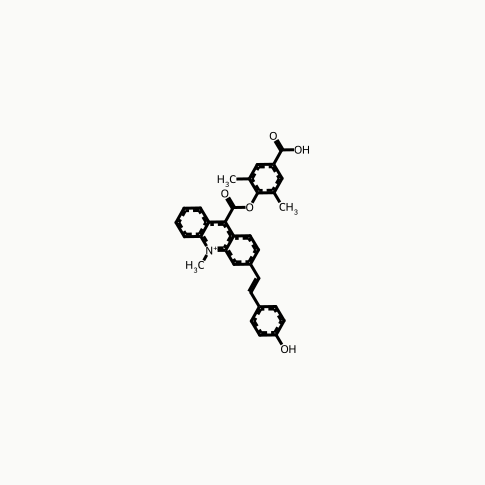 Cc1cc(C(=O)O)cc(C)c1OC(=O)c1c2ccccc2[n+](C)c2cc(C=Cc3ccc(O)cc3)ccc12